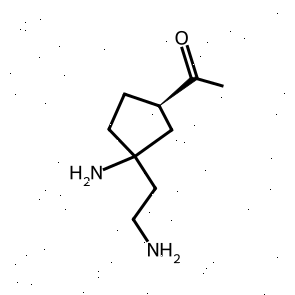 CC(=O)[C@@H]1CCC(N)(CCN)C1